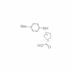 N#Cc1ccc(N[C@@H]2CC[C@H](C(=O)O)C2)cc1